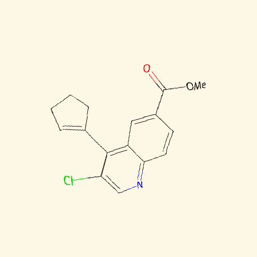 COC(=O)c1ccc2ncc(Cl)c(C3=CCCC3)c2c1